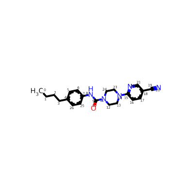 CCCCc1ccc(NC(=O)N2CCN(c3ccc(C#N)cn3)CC2)cc1